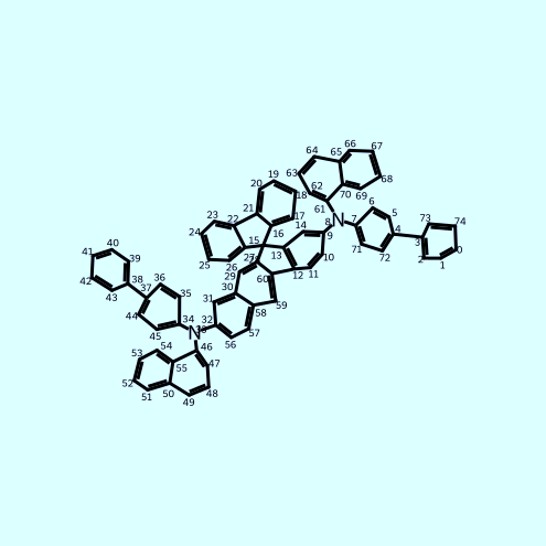 c1ccc(-c2ccc(N(c3ccc4c(c3)C3(c5ccccc5-c5ccccc53)c3cc5cc(N(c6ccc(-c7ccccc7)cc6)c6cccc7ccccc67)ccc5cc3-4)c3cccc4ccccc34)cc2)cc1